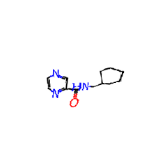 O=C(NCC1CCCCC1)c1cnccn1